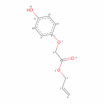 C=CCOC(=O)COc1ccc(O)cc1